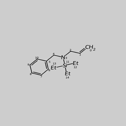 C=CCN(Cc1ccccc1)[Si](CC)(CC)CC